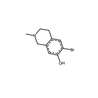 CN1CCc2cc(Br)c(O)cc2C1